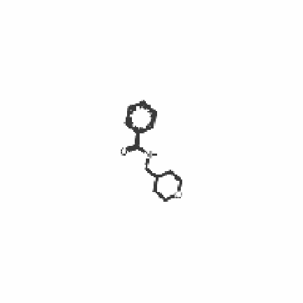 O=C(NCC1CCOCC1)c1ccccc1